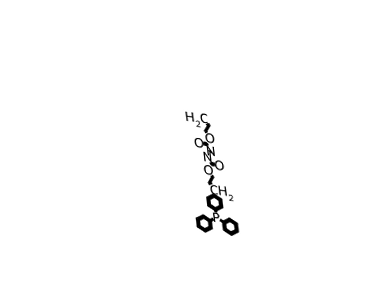 C=CCOC(=O)N=NC(=O)OCC=C.c1ccc(P(c2ccccc2)c2ccccc2)cc1